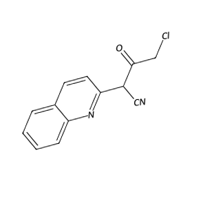 N#CC(C(=O)CCl)c1ccc2ccccc2n1